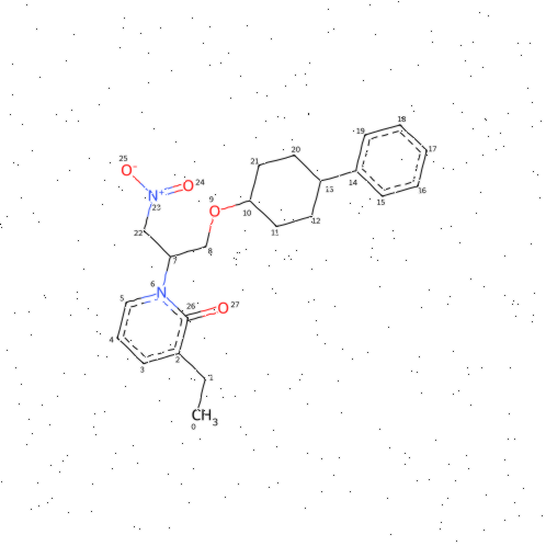 CCc1cccn(C(COC2CCC(c3ccccc3)CC2)C[N+](=O)[O-])c1=O